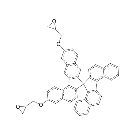 c1ccc2c3c(ccc2c1)C(c1ccc2cc(OCC4CO4)ccc2c1)(c1ccc2cc(OCC4CO4)ccc2c1)c1c-3ccc2ccccc12